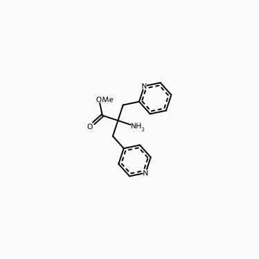 COC(=O)C(N)(Cc1ccncc1)Cc1ccccn1